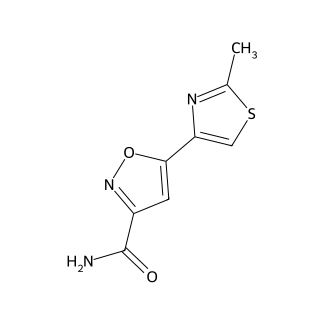 Cc1nc(-c2cc(C(N)=O)no2)cs1